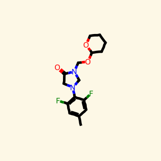 Cc1cc(F)c(N2CC(=O)N(COC3CCCCO3)C2)c(F)c1